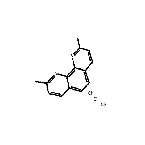 Cc1ccc2ccc3ccc(C)nc3c2n1.[Cl-].[Cl-].[Ni+2]